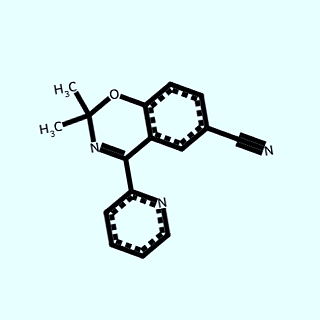 CC1(C)N=C(c2ccccn2)c2cc(C#N)ccc2O1